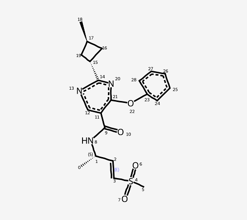 C[C@@H](/C=C/S(C)(=O)=O)NC(=O)c1cnc([C@H]2C[C@H](C)C2)nc1Oc1ccccc1